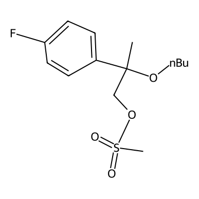 CCCCOC(C)(COS(C)(=O)=O)c1ccc(F)cc1